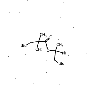 CC(C)(C)CC(C)(N)OC(=O)C(C)(C)CC(C)(C)C